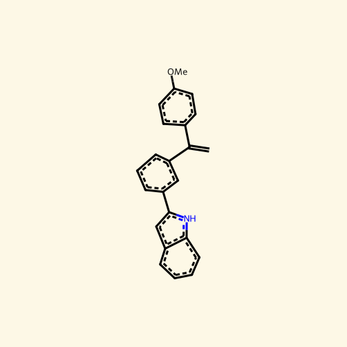 C=C(c1ccc(OC)cc1)c1cccc(-c2cc3ccccc3[nH]2)c1